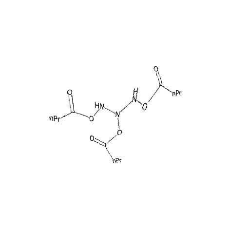 CCCC(=O)ONN(NOC(=O)CCC)OC(=O)CCC